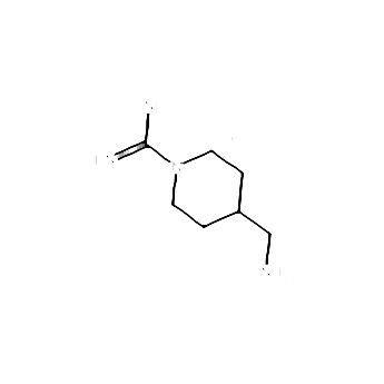 Cl.N=C(N)N1CCC(CN)CC1